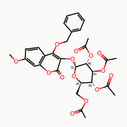 COc1ccc2c(OCc3ccccc3)c(O[C@@H]3O[C@H](COC(C)=O)[C@@H](OC(C)=O)[C@H](OC(C)=O)[C@H]3OC(C)=O)c(=O)oc2c1